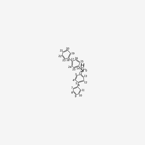 C[SiH](c1ccc(-c2ccccc2)cc1)c1ccc(-c2ccccc2)cc1